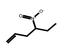 C=CCC(CC)[N+](=O)[O-]